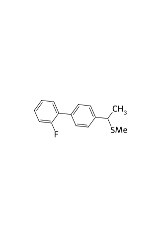 CSC(C)c1ccc(-c2ccccc2F)cc1